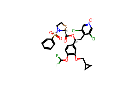 O=C(O[C@@H](Cc1c(Cl)c[n+]([O-])cc1Cl)c1ccc(OC(F)F)c(OCC2CC2)c1)[C@@H]1SCCN1S(=O)(=O)c1ccccc1